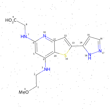 COCCNc1cc(NCC(=O)O)nc2cc(-c3ccn[nH]3)sc12